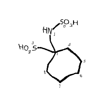 O=S(=O)(O)NC1(S(=O)(=O)O)CCCCC1